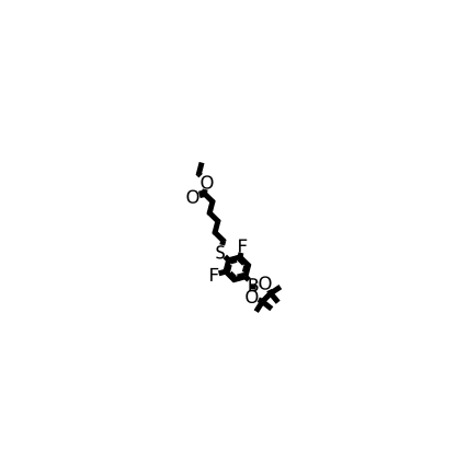 CCOC(=O)CCCCCSc1c(F)cc(B2OC(C)(C)C(C)(C)O2)cc1F